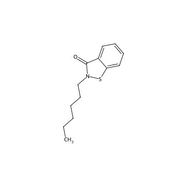 CCCCCCn1sc2ccccc2c1=O